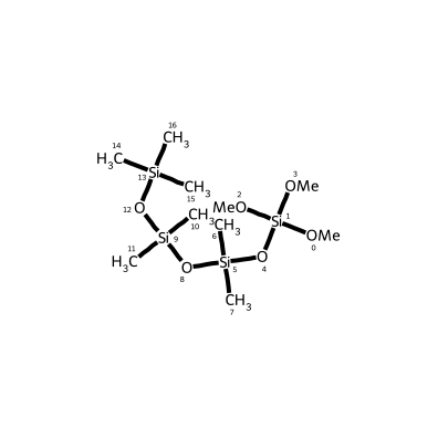 CO[Si](OC)(OC)O[Si](C)(C)O[Si](C)(C)O[Si](C)(C)C